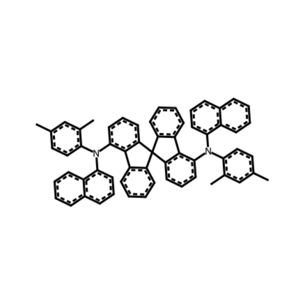 Cc1ccc(N(c2cccc3c2-c2ccccc2C32c3ccccc3-c3c(N(c4ccc(C)cc4C)c4cccc5ccccc45)cccc32)c2cccc3ccccc23)c(C)c1